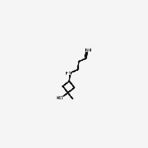 CC1(O)CC(NCCC=N)C1